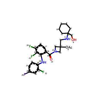 CC(=O)OC1(CNC2(CO)CCCCC2)CN(C(=O)c2ccc(F)c(F)c2Nc2ccc(I)cc2F)C1